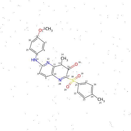 COc1ccc(Nc2ccc3c(n2)C(C)C(=O)C(S(=O)(=O)c2ccc(C)cc2)=N3)cc1